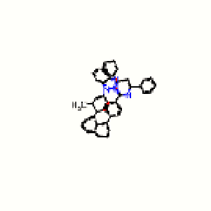 CC1C=C(n2nnc3ccccc32)C=CC1c1cccc2cccc(-c3ccc(-c4nc(-c5ccccc5)cc(-c5ccccc5)n4)cc3)c12